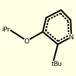 CC(C)Oc1cccnc1C(C)(C)C